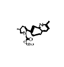 Cc1ccc2ccc(C3=CC[C@H](C)CN3C(=O)OC(C)(C)C)cc2n1